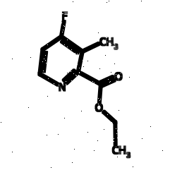 CCOC(=O)c1nccc(F)c1C